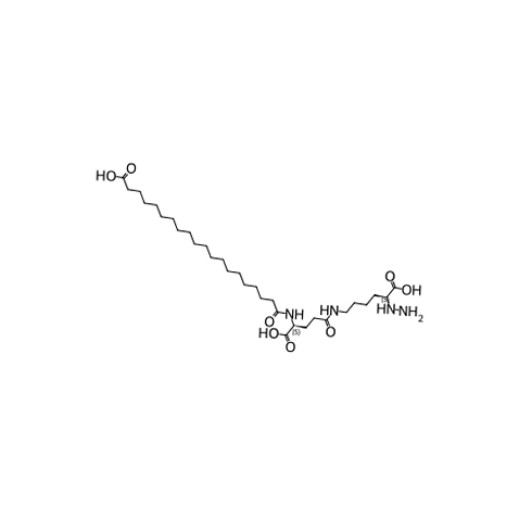 NN[C@@H](CCCCNC(=O)CC[C@H](NC(=O)CCCCCCCCCCCCCCCCCCC(=O)O)C(=O)O)C(=O)O